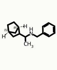 CC(NCc1ccccc1)C1C[C@H]2CC[C@@H]1C2